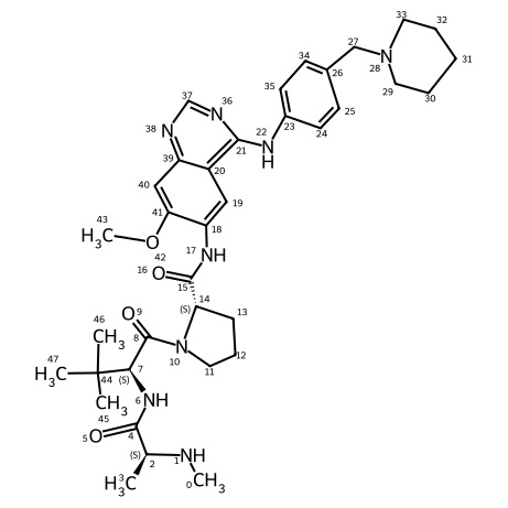 CN[C@@H](C)C(=O)N[C@H](C(=O)N1CCC[C@H]1C(=O)Nc1cc2c(Nc3ccc(CN4CCCCC4)cc3)ncnc2cc1OC)C(C)(C)C